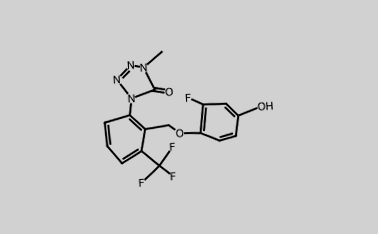 Cn1nnn(-c2cccc(C(F)(F)F)c2COc2ccc(O)cc2F)c1=O